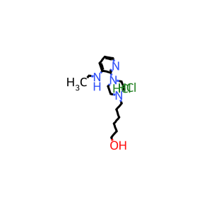 CCNc1cccnc1N1CCN(CCCCCCO)CC1.Cl.Cl